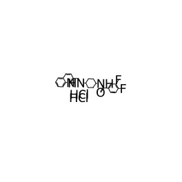 Cl.Cl.O=C(NC1CCC(NCc2ccc3ccccc3n2)CC1)c1ccc(F)c(F)c1